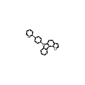 c1ccc(-c2ccc(-n3c4ccccc4c4c5occc5ccc43)cc2)nc1